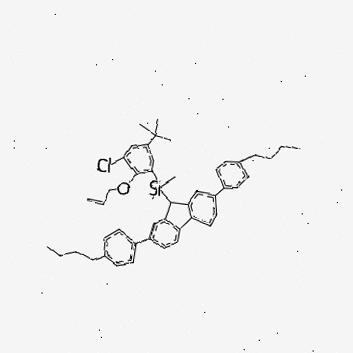 C=CCOc1c(Cl)cc(C(C)(C)C)cc1[Si](C)(C)C1c2cc(-c3ccc(CCCC)cc3)ccc2-c2ccc(-c3ccc(CCCC)cc3)cc21